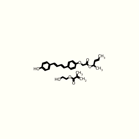 C=C(C)C(=O)OCCO.CC=CC(C)OC(=O)COc1ccc(C=CC=Cc2ccc(O)cc2)cc1